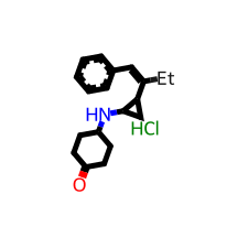 CCC(=Cc1ccccc1)C1CC1NC1CCC(=O)CC1.Cl